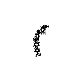 CC(=O)c1ccc(N2CCN(C(=O)CN3CC[C@@H](C(=O)NC4C=CC(O)=CC4)C3)CC2)cc1